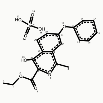 CCOC(=O)c1nc(C)c2cc(Oc3ccccc3)ccc2c1O.O=S(=O)(O)O